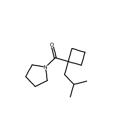 CC(C)CC1(C(=O)N2CCCC2)CCC1